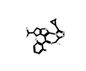 C[C@@H]1N=C(c2c(F)cccc2F)c2c(sc3c2CC(C(F)F)C3)-n2c(C3CC3)nnc21